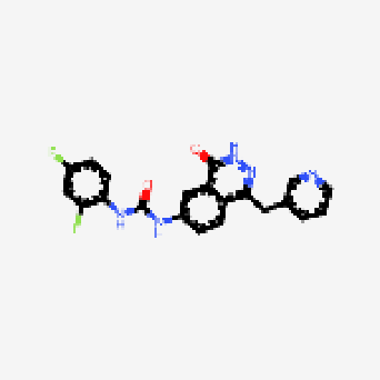 O=C(Nc1ccc2c(Cc3cccnc3)n[nH]c(=O)c2c1)Nc1ccc(F)cc1F